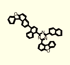 c1ccc2cc(-c3nc(-c4ccc(-c5ccc6c(ccc7oc8ccccc8c76)c5)c5ccccc45)nc(-c4cccc5oc6ccccc6c45)n3)ccc2c1